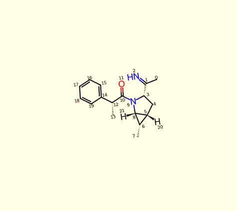 CC(=N)[C@@H]1C[C@@H]2[C@H](C)[C@@H]2N1C(=O)[C@H](C)c1ccccc1